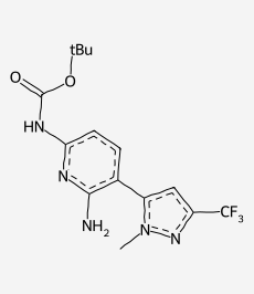 Cn1nc(C(F)(F)F)cc1-c1ccc(NC(=O)OC(C)(C)C)nc1N